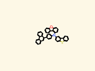 c1ccc2c(c1)cc(-c1ccc(N(c3ccc4sc5ccccc5c4c3)c3cccc4oc5ccccc5c34)cc1)c1ccccc12